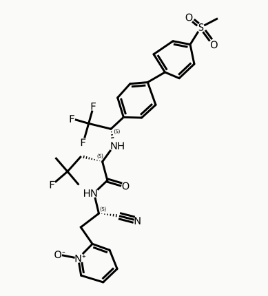 CC(C)(F)C[C@H](N[C@@H](c1ccc(-c2ccc(S(C)(=O)=O)cc2)cc1)C(F)(F)F)C(=O)N[C@H](C#N)Cc1cccc[n+]1[O-]